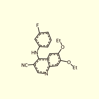 CCOc1cc2ncc(C#N)c(Nc3cccc(F)c3)c2cc1OCC